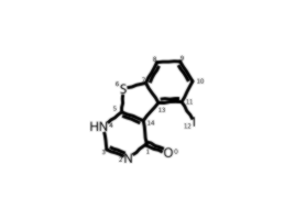 O=c1nc[nH]c2sc3cccc(I)c3c12